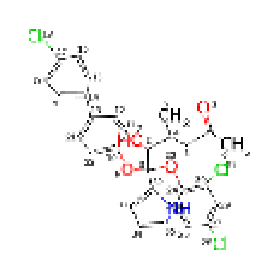 CC(=O)CC(C)C(O)C(Oc1ccc(-c2ccc(Cl)cc2)cc1)(Oc1ccc(Cl)cc1Cl)c1ccc[nH]1